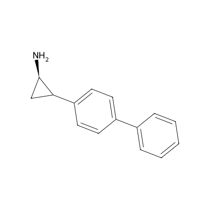 N[C@@H]1CC1c1ccc(-c2ccccc2)cc1